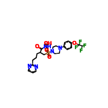 O=C(NO)C(CCCc1ncccn1)CS(=O)(=O)N1CCN(c2ccc(OC(F)(F)C(F)F)cc2)CC1